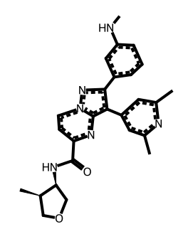 CNc1cccc(-c2nn3ccc(C(=O)N[C@H]4COC[C@H]4C)nc3c2-c2cc(C)nc(C)c2)c1